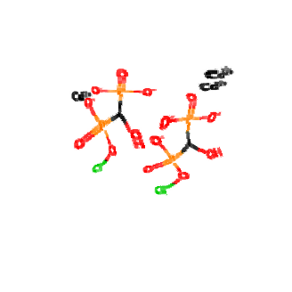 O=P([O-])([O-])C(O)P(=O)([O-])OCl.O=P([O-])([O-])C(O)P(=O)([O-])OCl.[Cd+2].[Cd+2].[Cd+2]